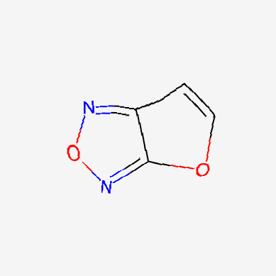 c1cc2nonc2o1